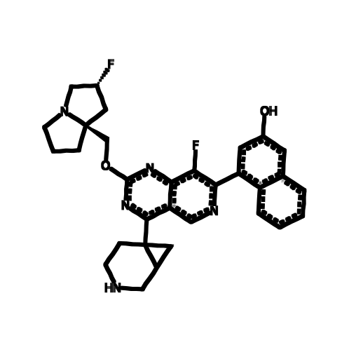 Oc1cc(-c2ncc3c(C45CCNCC4C5)nc(OC[C@@]45CCCN4C[C@H](F)C5)nc3c2F)c2ccccc2c1